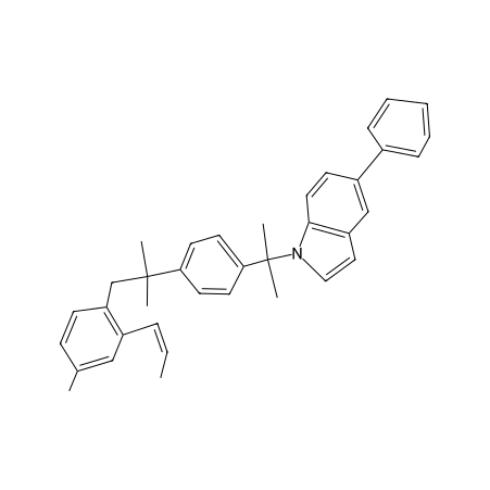 C/C=C\c1cc(C)ccc1CC(C)(C)c1ccc(C(C)(C)n2ccc3cc(-c4ccccc4)ccc32)cc1